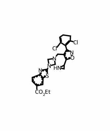 CCOC(=O)c1ccc2nc(N3CN(Cc4c(C5=C(Cl)CCC=C5Cl)noc4C4CN4)C3)sc2c1